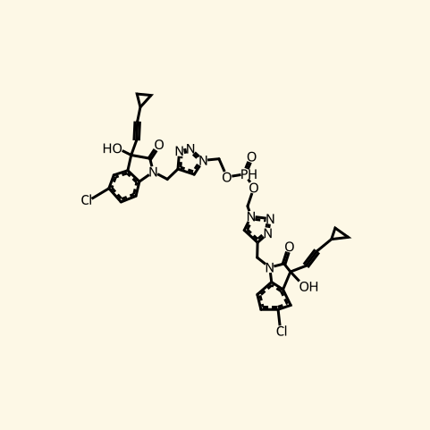 O=C1N(Cc2cn(CO[PH](=O)OCn3cc(CN4C(=O)C(O)(C#CC5CC5)c5cc(Cl)ccc54)nn3)nn2)c2ccc(Cl)cc2C1(O)C#CC1CC1